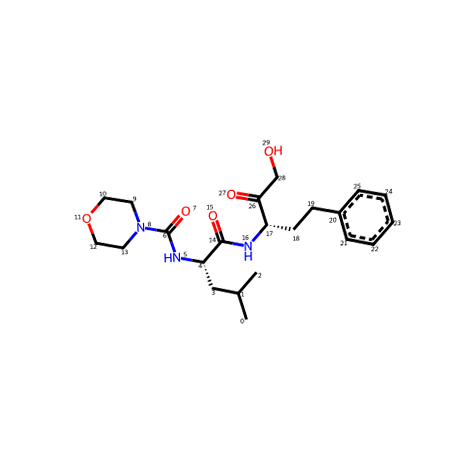 CC(C)C[C@H](NC(=O)N1CCOCC1)C(=O)N[C@@H](CCc1ccccc1)C(=O)CO